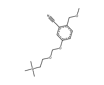 COCc1ccc(OCOCC[Si](C)(C)C)cc1C#N